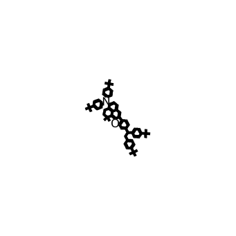 CC(C)(C)c1ccc(CC(c2ccc(C(C)(C)C)cc2)c2ccc3c(c2)oc2c4c5c(c(N(c6ccc(C(C)(C)C)cc6)c6ccc(C(C)(C)C)cc6)ccc5cc23)CCC4(C)C)cc1